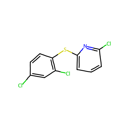 Clc1ccc(Sc2cccc(Cl)n2)c(Cl)c1